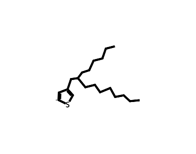 CCCCCCCCC(CCCCCC)Cc1c[c]sc1